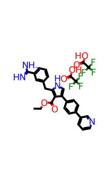 CCOC(=O)c1c(-c2ccc(-c3cccnc3)cc2)c[nH]c1Cc1cccc(C(=N)N)c1.O=C(O)C(F)(F)F.O=C(O)C(F)(F)F